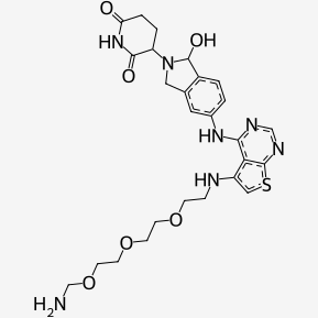 NCOCCOCCOCCNc1csc2ncnc(Nc3ccc4c(c3)CN(C3CCC(=O)NC3=O)C4O)c12